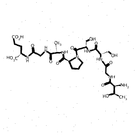 C[C@H](NC(=O)[C@@H]1CCCN1C(=O)[C@H](CO)NC(=O)[C@H](CO)NC(=O)CNC(=O)[C@@H](N)[C@@H](C)O)C(=O)NCC(=O)N[C@@H](CCC(=O)O)C(=O)O